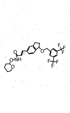 O=C(/C=C/c1ccc2c(c1)CCC2OCc1cc(C(F)(F)F)cc(C(F)(F)F)c1)NOC1CCCCO1